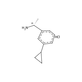 C[C@@H](N)c1cccc(C2CC2)c1.Cl